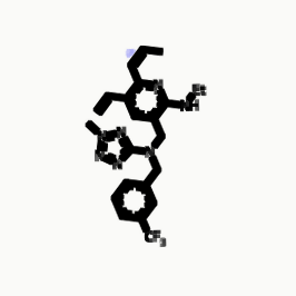 C=Cc1cc(CN(Cc2cccc(C(F)(F)F)c2)c2nnn(C)n2)c(NCC)nc1/C=C\C